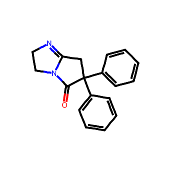 O=C1N2CCN=C2CC1(c1ccccc1)c1ccccc1